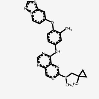 Cc1cc(Nc2ncnc3cnc(N(C)CC4(O)CC4)nc23)ccc1Oc1ccn2ncnc2c1